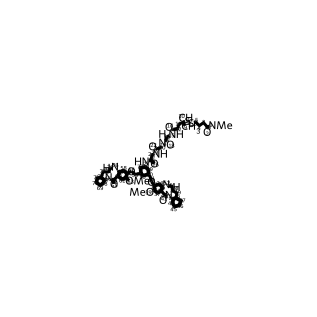 CNC(=O)CCCSSC(C)(C)CCC(=O)NCC(=O)NCC(=O)NCC(=O)Nc1cc(COc2cc3c(cc2OC)C(=O)N2c4ccccc4C[C@H]2C=N3)cc(COc2cc3c(cc2OC)C(=O)N2c4ccccc4C[C@H]2C=N3)c1